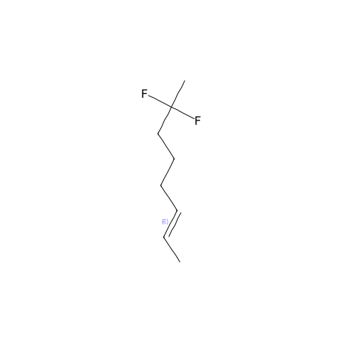 C/C=C/CCCC(C)(F)F